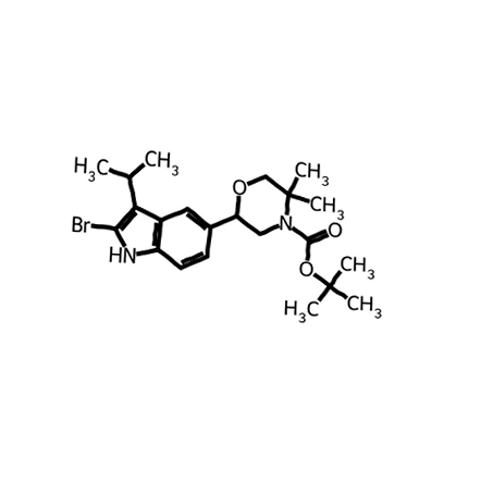 CC(C)c1c(Br)[nH]c2ccc(C3CN(C(=O)OC(C)(C)C)C(C)(C)CO3)cc12